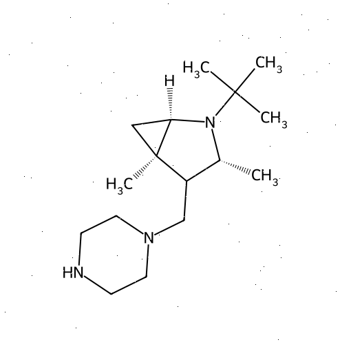 C[C@@H]1C(CN2CCNCC2)[C@@]2(C)C[C@H]2N1C(C)(C)C